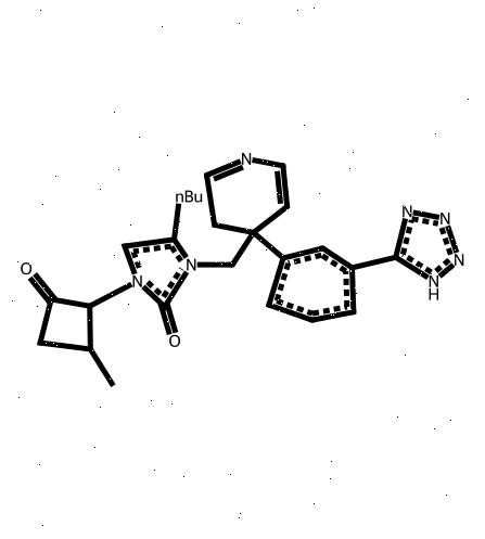 CCCCc1cn(C2C(=O)CC2C)c(=O)n1CC1(c2cccc(-c3nnn[nH]3)c2)C=CN=CC1